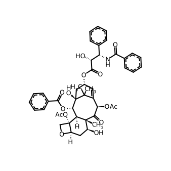 CC(=O)O[C@H]1C(=O)[C@@]2(C)[C@H]([C@H](OC(=O)c3ccccc3)[C@]3(O)C[C@H](OC(=O)[C@H](O)[C@@H](NC(=O)c4ccccc4)c4ccccc4)C=C1C3(C)C)[C@]1(OC(C)=O)CO[C@@H]1C[C@@H]2O